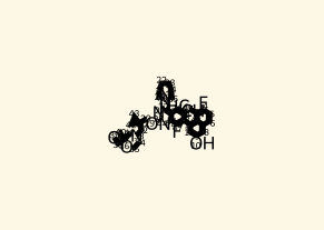 C#Cc1c(F)ccc2cc(O)cc(-c3c(C)cc4c(N5CC6CCC(C5)N6)nc(OCC5(CN6CCOC7(COC7)C6)CC5)nc4c3F)c12